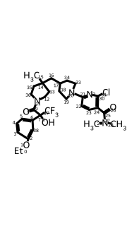 CCOc1cccc(C(O)(C(=O)N2CCC(C)(CC3CCN(c4ccc(C(=O)N(C)C)c(Cl)n4)CC3)CC2)C(F)(F)F)c1